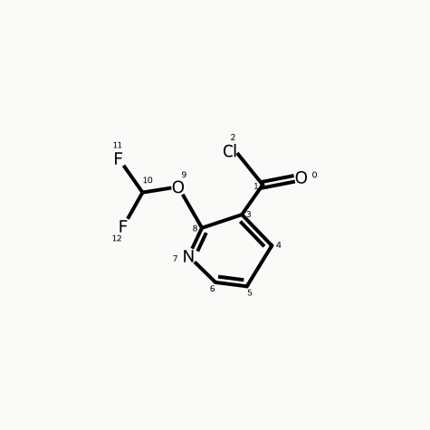 O=C(Cl)c1cccnc1OC(F)F